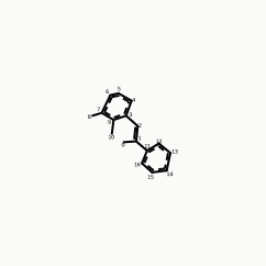 CC(=Cc1cccc(C)c1C)c1ccccc1